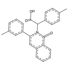 Cc1ccc(C(C(=O)O)n2c(-c3cccc(C)c3)cc3ccccc3c2=O)cc1